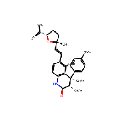 C=C(C)[C@@H]1CC[C@](C)(/C=C/c2ccc3c(c2OC)[C@@](OC)(c2ccc(OC)cc2)[C@H](OC)C(=O)N3)O1